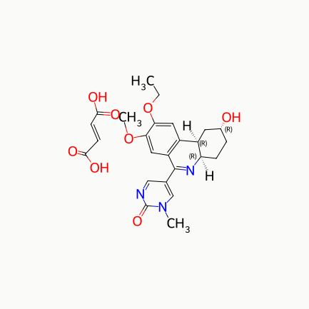 CCOc1cc2c(cc1OC)C(c1cnc(=O)n(C)c1)=N[C@@H]1CC[C@@H](O)C[C@H]21.O=C(O)C=CC(=O)O